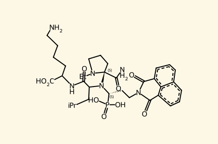 CCN1CCC[C@@]1(C(N)=O)N(C(CC(C)C)C(=O)NC(CCCCN)C(=O)O)[C@H](CCN1C(=O)c2cccc3cccc(c23)C1=O)P(=O)(O)O